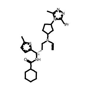 C=CN(CC[C@H](NC(=O)C1CCCCC1)c1ccc(C)s1)C1CCC(n2c(C)nnc2C(C)C)C1